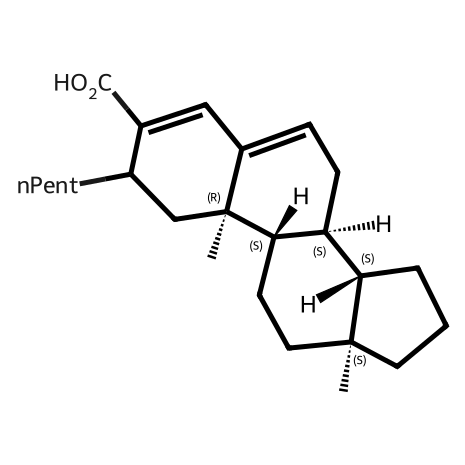 CCCCCC1C[C@@]2(C)C(=CC[C@H]3[C@@H]4CCC[C@@]4(C)CC[C@@H]32)C=C1C(=O)O